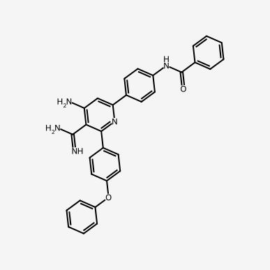 N=C(N)c1c(N)cc(-c2ccc(NC(=O)c3ccccc3)cc2)nc1-c1ccc(Oc2ccccc2)cc1